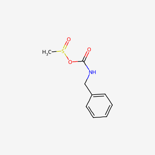 CS(=O)OC(=O)NCc1ccccc1